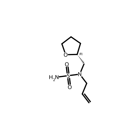 C=CCN(C[C@H]1CCCO1)S(N)(=O)=O